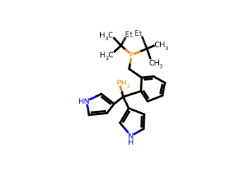 CCC(C)(C)P(Cc1ccccc1C(P)(c1cc[nH]c1)c1cc[nH]c1)C(C)(C)CC